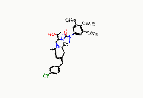 CCC1CC(Cc2ccc(Cl)cc2)CC(C)N1CC(NC(=O)Nc1cc(OC)c(OC)c(OC)c1)C(C)O